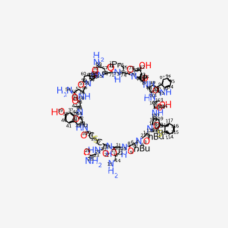 CCCC[C@H]1C(=O)N(C)[C@@H](CCCC)C(=O)N[C@@H](CCCN)C(=O)NC(C(=O)NCC(N)=O)CSCC(=O)N[C@@H](Cc2ccc(O)cc2)C(=O)N(C)[C@@H](C)C(=O)N[C@@H](CC(N)=O)C(=O)N2CCC[C@H]2C(=O)N[C@@H](CC(N)=O)C(=O)N[C@@H](CC(C)C)C(=O)N2C[C@H](O)C[C@H]2C(=O)N[C@@H](Cc2c[nH]c3ccccc23)C(=O)N[C@@H](CO)C(=O)N[C@@H](Cc2csc3ccccc23)C(=O)N1C